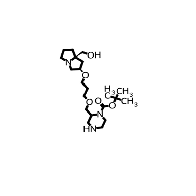 CC(C)(C)OC(=O)N1CCNCC1COCCCO[C@H]1CN2CCC[C@]2(CO)C1